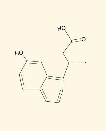 [CH2]C(CC(=O)O)c1cccc2ccc(O)cc12